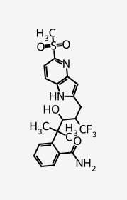 CC(C)(c1ccccc1C(N)=O)C(O)C(Cc1cc2nc(S(C)(=O)=O)ccc2[nH]1)C(F)(F)F